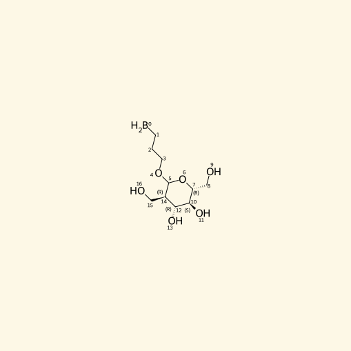 BCCCOC1O[C@H](CO)[C@@H](O)[C@H](O)[C@H]1CO